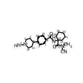 CCCN1CCC(c2ccc(C(=O)NC3(C(=O)N(C)C#N)CCCCC3)cc2)CC1